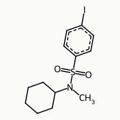 CN(C1CCCCC1)S(=O)(=O)c1ccc(I)cc1